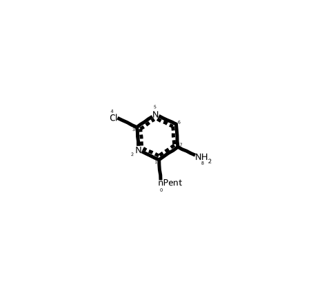 CC[CH]CCc1nc(Cl)ncc1N